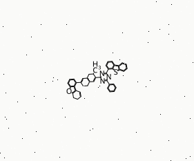 CC1CC2=C(C=C1c1nc(-c3ccccc3)nc(-c3cccc4c3sc3ccccc34)n1)CCC(c1cccc3oc4c(c13)C=CCC4)=C2